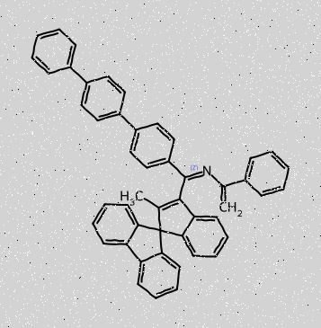 C=C(/N=C(\C1=C(C)C2(c3ccccc31)c1ccccc1-c1ccccc12)c1ccc(-c2ccc(-c3ccccc3)cc2)cc1)c1ccccc1